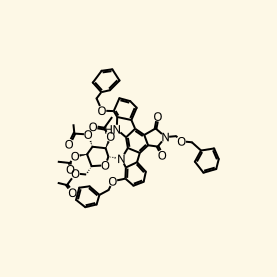 CC(=O)OC[C@H]1O[C@@H](n2c3c(OCc4ccccc4)cccc3c3c4c(c5c6cccc(OCc7ccccc7)c6[nH]c5c32)C(=O)N(COCc2ccccc2)C4=O)[C@H](OC(C)=O)[C@@H](OC(C)=O)[C@@H]1OC(C)=O